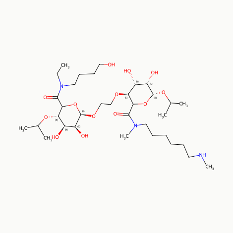 CCN(CCCCO)C(=O)C1O[C@@H](OCCO[C@@H]2C(C(=O)N(C)CCCCCCNC)O[C@@H](OC(C)C)[C@@H](O)[C@H]2O)[C@@H](O)[C@@H](O)[C@@H]1OC(C)C